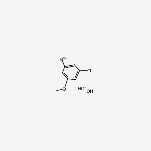 [B+2]c1cc(Cl)cc(OC)c1.[OH-].[OH-]